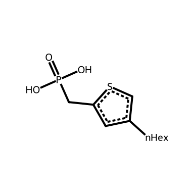 CCCCCCc1csc(CP(=O)(O)O)c1